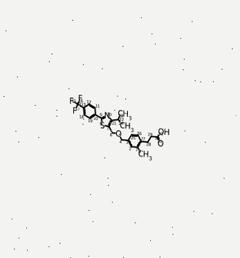 Cc1cc(COCc2sc(-c3ccc(C(F)(F)F)cc3)nc2C(C)C)ccc1CCC(=O)O